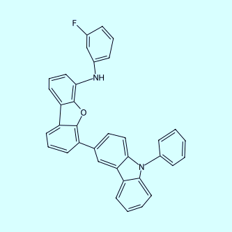 Fc1cccc(Nc2cccc3c2oc2c(-c4ccc5c(c4)c4ccccc4n5-c4ccccc4)cccc23)c1